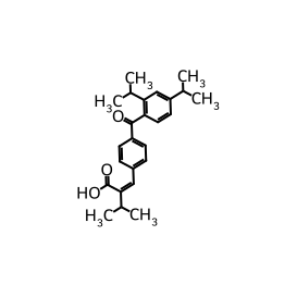 CC(C)C(=Cc1ccc(C(=O)c2ccc(C(C)C)cc2C(C)C)cc1)C(=O)O